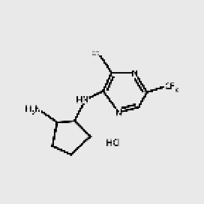 CCc1nc(C(F)(F)F)cnc1NC1CCCC1N.Cl